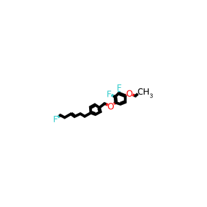 CCOc1ccc(OCc2ccc(CC/C=C/CCF)cc2)c(F)c1F